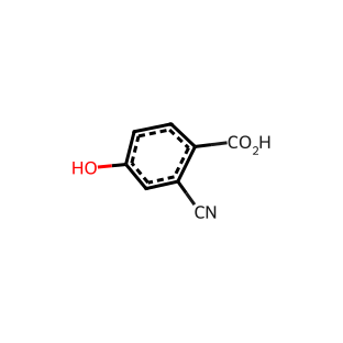 N#Cc1cc(O)ccc1C(=O)O